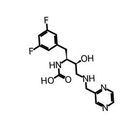 O=C(O)N[C@@H](Cc1cc(F)cc(F)c1)[C@@H](O)CNCc1cnccn1